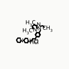 CCc1nc2c(C)cc(C)nc2n1Cc1ccc(C(=O)/C=C/N2CCC(N3CCCCC3)CC2)cc1.Cl